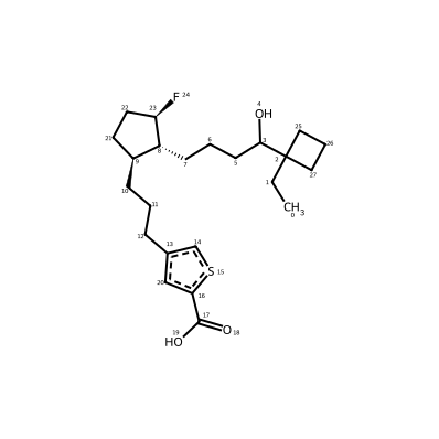 CCC1(C(O)CCC[C@@H]2[C@@H](CCCc3csc(C(=O)O)c3)CC[C@H]2F)CCC1